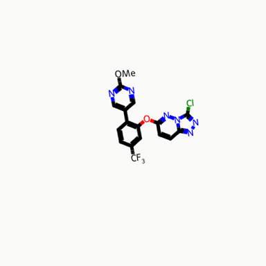 COc1ncc(-c2ccc(C(F)(F)F)cc2Oc2ccc3nnc(Cl)n3n2)cn1